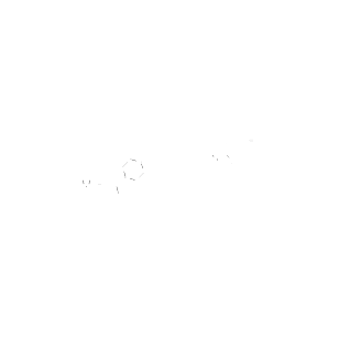 COC(=O)c1ccc2c(c1)CC(CCC1CCN(C(=O)OC(C)(C)C)CC1)C2